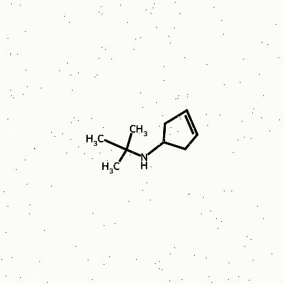 CC(C)(C)NC1CC=CC1